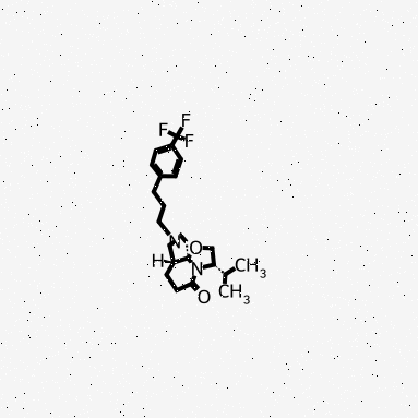 CC(C)[C@H]1CO[C@]23CCN(CCCc4ccc(C(F)(F)F)cc4)C[C@H]2CCC(=O)N13